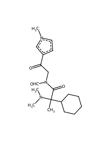 CN(C)C(C)(C(=O)N(C=O)CC(=O)c1ccn(C)c1)C1CCCCC1